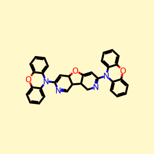 C1=NC(N2c3ccccc3Oc3ccccc32)=CC2OC3=CC(N4c5ccccc5Oc5ccccc54)=NCC3C12